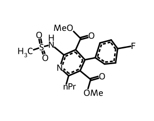 CCCc1nc(NS(C)(=O)=O)c(C(=O)OC)c(-c2ccc(F)cc2)c1C(=O)OC